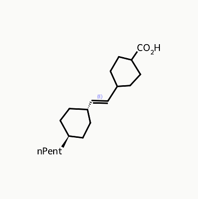 CCCCC[C@H]1CC[C@H](/C=C/C2CCC(C(=O)O)CC2)CC1